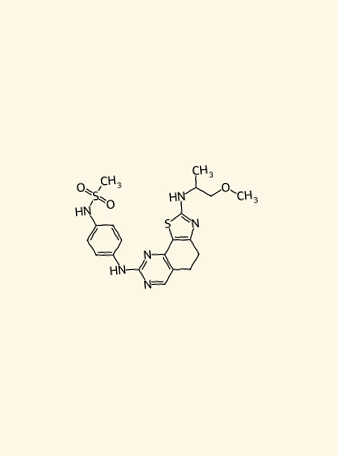 COCC(C)Nc1nc2c(s1)-c1nc(Nc3ccc(NS(C)(=O)=O)cc3)ncc1CC2